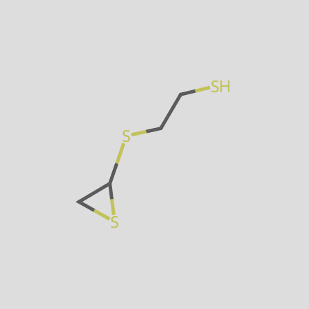 SCCSC1CS1